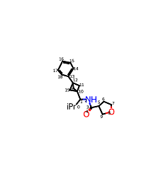 CC(C)C(NC(=O)C1CCOC1)C12CC(c3ccccc3)(C1)C2